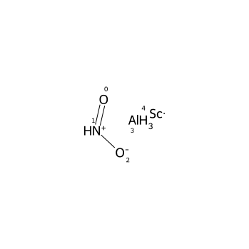 O=[NH+][O-].[AlH3].[Sc]